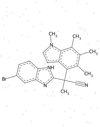 Cc1c(C)c(C)c2c(ccn2C)c1C(C)(C#N)c1nc2cc(Br)ccc2[nH]1